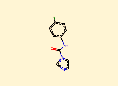 O=C(Nc1ccc(Cl)cc1)n1ccnc1